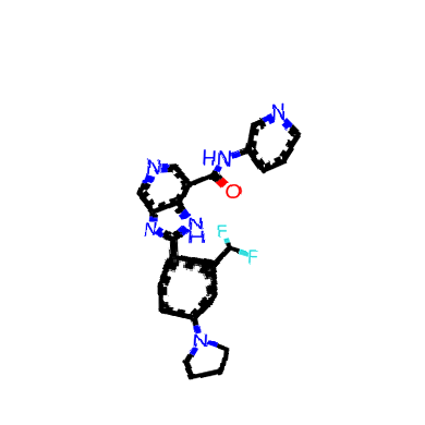 O=C(Nc1cccnc1)c1cncc2nc(-c3ccc(N4CCCC4)cc3C(F)F)[nH]c12